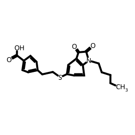 CCCCCN1C(=O)C(=O)c2cc(SCCc3ccc(C(=O)O)cc3)ccc21